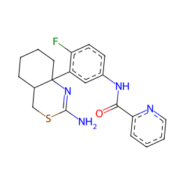 NC1=NC2(c3cc(NC(=O)c4ccccn4)ccc3F)CCCCC2CS1